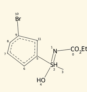 CCOC(=O)N=[SH](C)(O)c1cccc(Br)c1